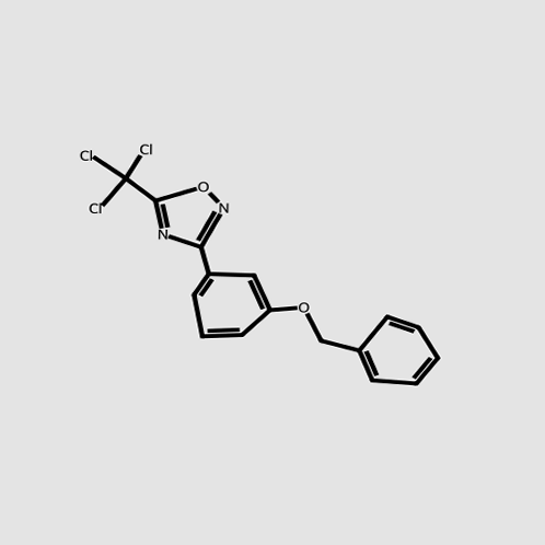 ClC(Cl)(Cl)c1nc(-c2cccc(OCc3ccccc3)c2)no1